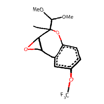 COC(OC)C1(C)Oc2ccc(OC(F)(F)F)cc2C2OC21